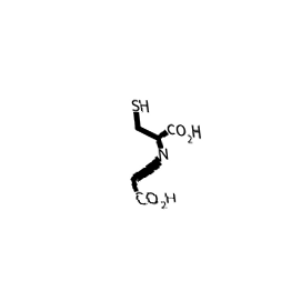 O=C(O)C=NC(CS)C(=O)O